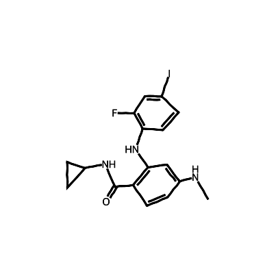 CNc1ccc(C(=O)NC2CC2)c(Nc2ccc(I)cc2F)c1